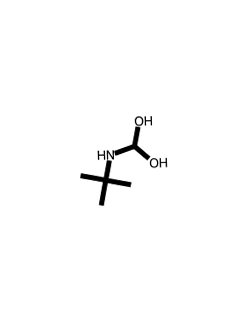 CC(C)(C)NC(O)O